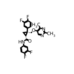 Cc1ncc(OC[C@@]2(c3ccc(F)c(F)c3)C[C@H]2C(=O)Nc2ccc(F)c(F)c2)c(C)n1